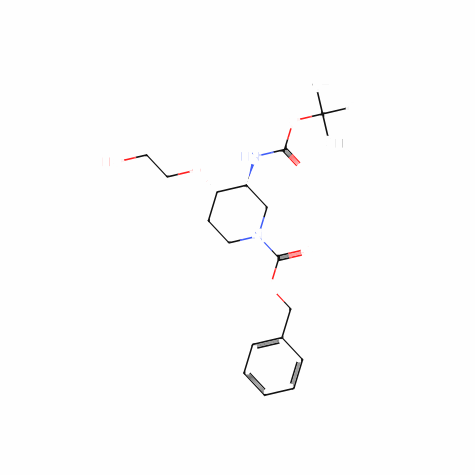 CC(C)(C)OC(=O)N[C@H]1CN(C(=O)OCc2ccccc2)CC[C@@H]1OCCO